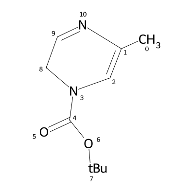 CC1=CN(C(=O)OC(C)(C)C)CC=N1